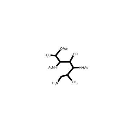 COC(C)C(NC(C)=O)C(O)C(NC(C)=O)C(C)CN